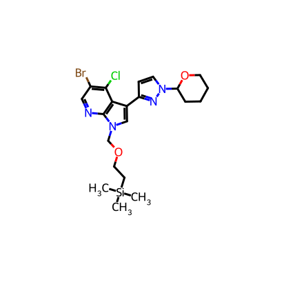 C[Si](C)(C)CCOCn1cc(-c2ccn(C3CCCCO3)n2)c2c(Cl)c(Br)cnc21